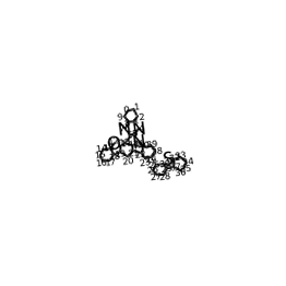 c1ccc2nc3c(nc2c1)c1c2oc4ccccc4c2cc2c4cc(-c5cccc6c5sc5ccccc56)ccc4n3c21